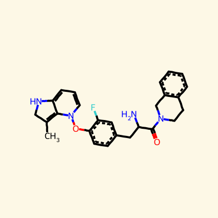 CC1=C2C(=CC=CN2Oc2ccc(CC(N)C(=O)N3CCc4ccccc4C3)cc2F)NC1